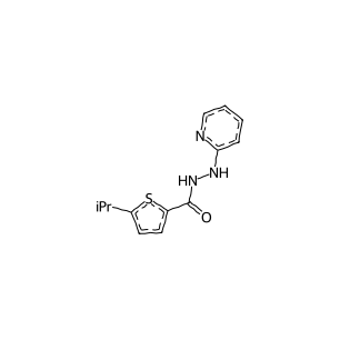 CC(C)c1ccc(C(=O)NNc2ccccn2)s1